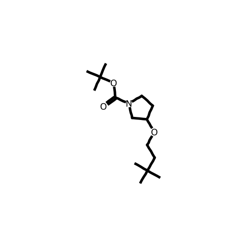 CC(C)(C)CCOC1CCN(C(=O)OC(C)(C)C)C1